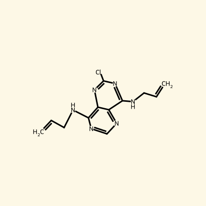 C=CCNc1nc(Cl)nc2c(NCC=C)ncnc12